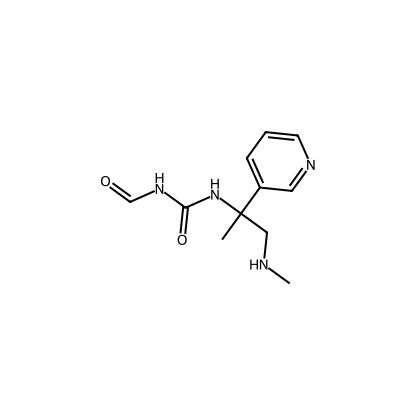 CNCC(C)(NC(=O)NC=O)c1cccnc1